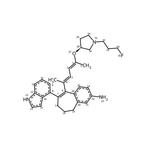 C/C(=C\C=C(/C)C1=C(c2cccc3[nH]ccc23)CCCc2cc(N)ccc21)O[C@H]1CCN(CCCF)C1